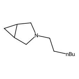 CCCCCCN1CC2CC2C1